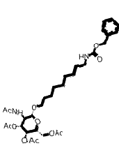 CC(=O)N[C@H]1[C@H](OCCCCCCCCCNC(=O)OCc2ccccc2)O[C@H](COC(C)=O)[C@H](OC(C)=O)[C@@H]1OC(C)=O